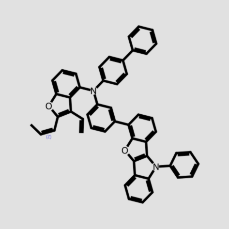 C=Cc1c(/C=C\C)oc2cccc(N(c3ccc(-c4ccccc4)cc3)c3cccc(-c4cccc5c4oc4c6ccccc6n(-c6ccccc6)c54)c3)c12